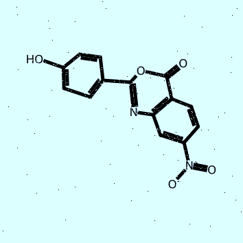 O=c1oc(-c2ccc(O)cc2)nc2cc([N+](=O)[O-])ccc12